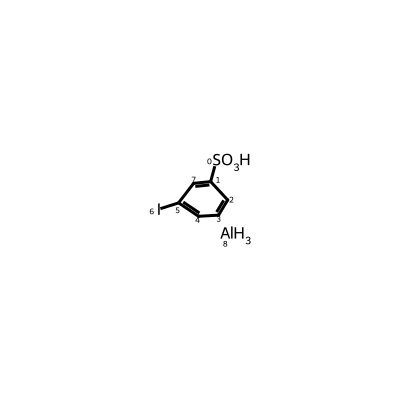 O=S(=O)(O)c1cccc(I)c1.[AlH3]